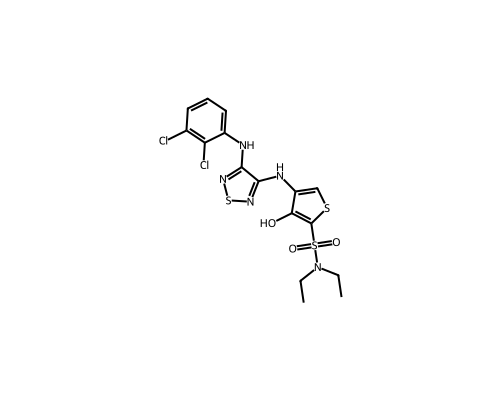 CCN(CC)S(=O)(=O)c1scc(Nc2nsnc2Nc2cccc(Cl)c2Cl)c1O